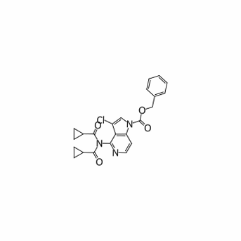 O=C(C1CC1)N(C(=O)C1CC1)c1nccc2c1c(Cl)cn2C(=O)OCc1ccccc1